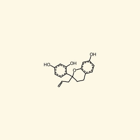 C=CCC1(c2ccc(O)cc2O)CCc2ccc(O)cc2O1